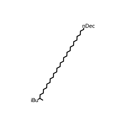 CCCCCCCCCCCCCCCCCCCCCCCCCCCCCCCCCCCCC(C)C(C)CC